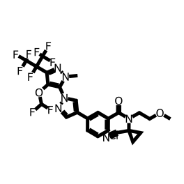 COCCN(C(=O)c1cc(-c2cnn(-c3c(OC(F)F)c(C(F)(C(F)(F)F)C(F)(F)F)nn3C)c2)ccc1Cl)C1(C#N)CC1